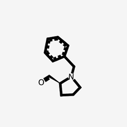 O=C[C@@H]1CCCN1Cc1ccccc1